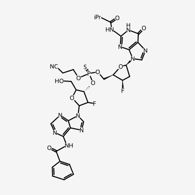 CC(C)C(=O)Nc1nc2c(ncn2[C@H]2C[C@@H](F)[C@@H](COP(=S)(OCCC#N)O[C@H]3C(CO)OC(n4cnc5c(NC(=O)c6ccccc6)ncnc54)C3F)O2)c(=O)[nH]1